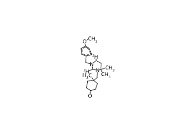 [2H]C1CC(C)(C)N(CC2(C)CCC(=O)CC2)C([2H])N1Cc1ccc(OC)cc1